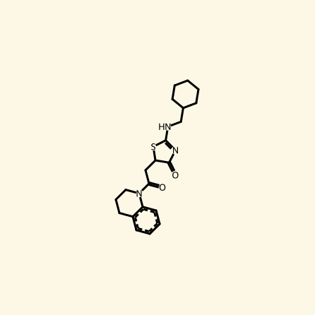 O=C1N=C(NCC2CCCCC2)SC1CC(=O)N1CCCc2ccccc21